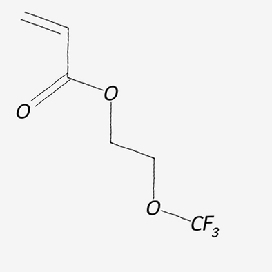 C=CC(=O)OCCOC(F)(F)F